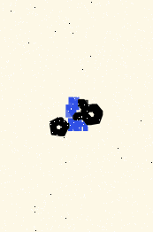 [c]1nnc(NC2CCCC2)c2ccccc12